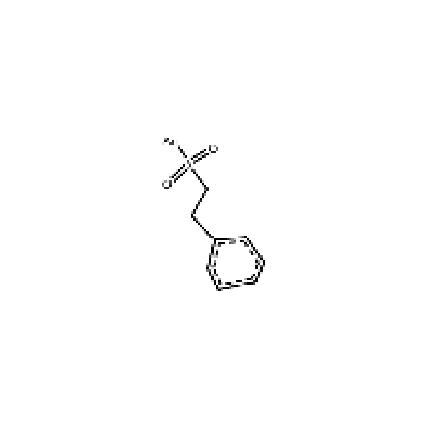 CC(=O)S(=O)(=O)CCc1ccccc1